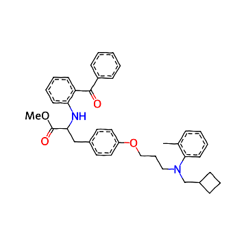 COC(=O)C(Cc1ccc(OCCCN(CC2CCC2)c2ccccc2C)cc1)Nc1ccccc1C(=O)c1ccccc1